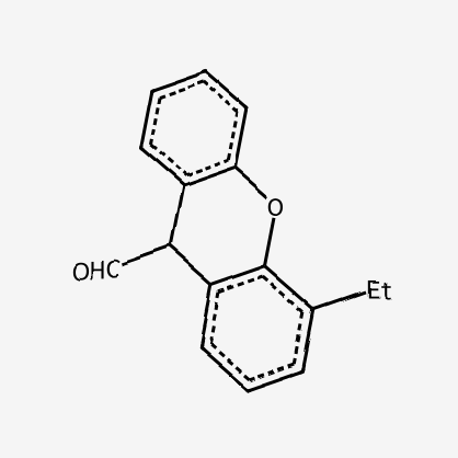 CCc1cccc2c1Oc1ccccc1C2C=O